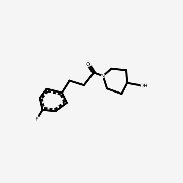 O=C([CH]Cc1ccc(F)cc1)N1CCC(O)CC1